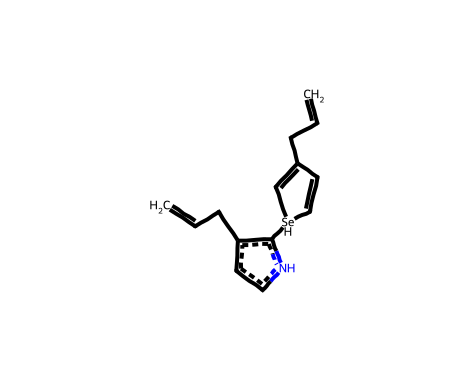 C=CCC1=C[SeH](c2[nH]ccc2CC=C)C=C1